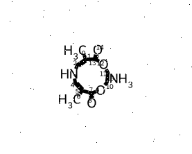 CC1=CNC=C(C)C(=O)OCCOC1=O.N